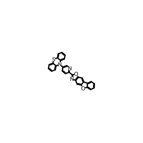 c1ccc2c(c1)Sc1ccccc1N2c1ccc(-c2nc3cc4oc5ccccc5c4cc3o2)nc1